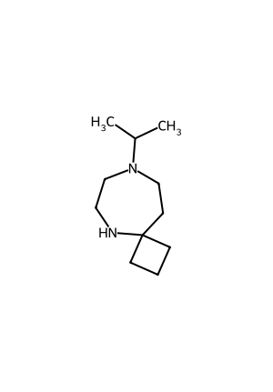 CC(C)N1CCNC2(CCC2)CC1